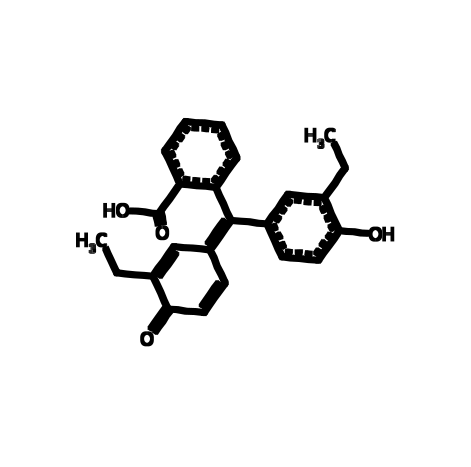 CCC1=C/C(=C(/c2ccc(O)c(CC)c2)c2ccccc2C(=O)O)C=CC1=O